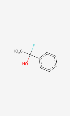 O=C(O)C(O)(F)c1ccccc1